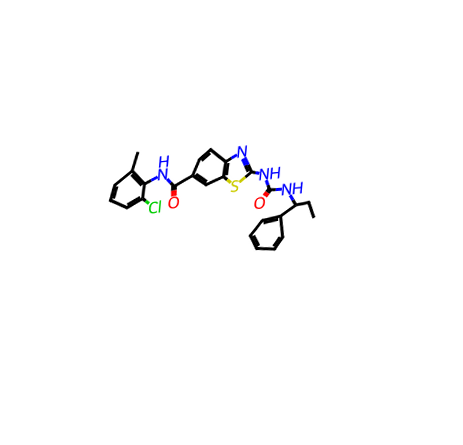 CCC(NC(=O)Nc1nc2ccc(C(=O)Nc3c(C)cccc3Cl)cc2s1)c1ccccc1